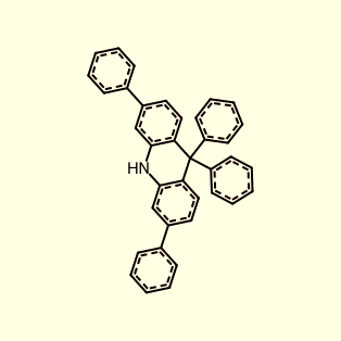 c1ccc(-c2ccc3c(c2)Nc2cc(-c4ccccc4)ccc2C3(c2ccccc2)c2ccccc2)cc1